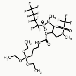 CCO[Si](CCCNC(=O)OC(CN(C)S(=O)(=O)C(F)(F)F)CN(C)S(=O)(=O)C(F)(F)C(F)(F)C(F)(F)C(F)(F)F)(OCC)OCC